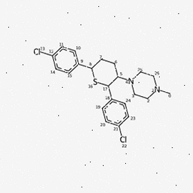 CN1CCN(C2CCC(c3ccc(Cl)cc3)SC2c2ccc(Cl)cc2)CC1